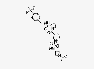 CC(=O)N1CC(NS(=O)(=O)N2CCC[C@H](C(=O)N3CCC[C@@H]3C(=O)NCc3ccc(C(C)(F)F)cc3)C2)C1